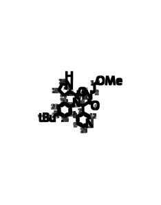 COCCNC(=O)C(c1cccnc1)N(C(=O)C1CCCN1)c1ccc(C(C)(C)C)cc1